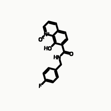 O=C(NCc1ccc(F)cc1)c1ccc2ccc[n+]([O-])c2c1O